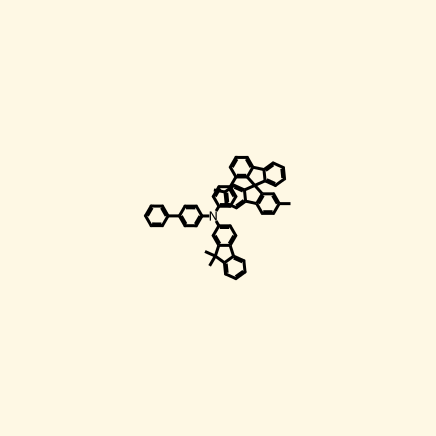 Cc1ccc2c(c1)C1(c3cc(C)ccc3-2)c2ccccc2-c2cccc(-c3ccc(N(c4ccc(-c5ccccc5)cc4)c4ccc5c(c4)C(C)(C)c4ccccc4-5)cc3)c21